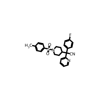 Cc1ccc(S(=O)(=O)N2CCC(C(C#N)(c3ccc(F)cc3)c3ccccn3)CC2)cc1